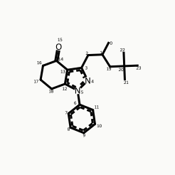 CC(Cc1nn(-c2ccccc2)c2c1C(=O)CCC2)CC(C)(C)C